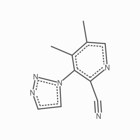 Cc1cnc(C#N)c(-n2ccnn2)c1C